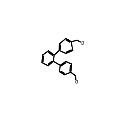 ClCc1ccc(-c2ccccc2-c2ccc(CCl)cc2)cc1